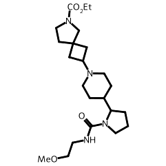 CCOC(=O)N1CCC2(CC(N3CCC(C4CCCN4C(=O)NCCOC)CC3)C2)C1